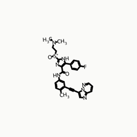 Cc1ccc(NC(=O)c2nc([S+]([O-])CCN(C)C)[nH]c2-c2ccc(F)cc2)cc1C#Cc1cnc2cccnn12